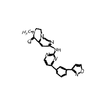 CN1CCn2nc(Nc3nccc(-c4cccc(-c5ccon5)c4)n3)cc2C1=O